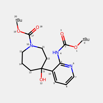 CC(C)(C)OC(=O)Nc1ncccc1C1(O)CCCN(C(=O)OC(C)(C)C)CC1